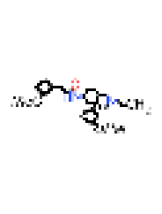 C=CCN1CCC2(c3cccc(OC)c3)CC(NC(=O)/C=C/c3cccc(OC)c3)CCC2C1